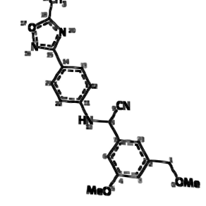 COCc1cc(OC)cc(C(C#N)Nc2ccc(-c3noc(C)n3)cc2)c1